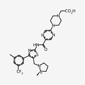 Cc1cc(-c2nc(NC(=O)c3cnc(N4CCN(CC(=O)O)CC4)cn3)sc2CN2CCC[C@H]2C)cc(C(F)(F)F)c1